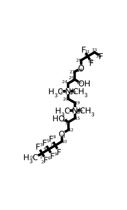 CC(F)(F)C(F)(F)C(F)(F)COCC(O)C[N+](C)(C)CC[N+](C)(C)CC(O)COCC(F)(F)CF